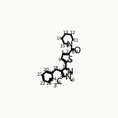 Cn1nc(-c2ccc(C(=O)N3CCCCC3)s2)c(Cc2ccccc2)c1C(F)(F)F